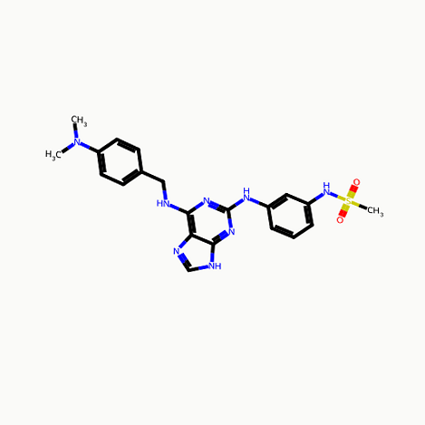 CN(C)c1ccc(CNc2nc(Nc3cccc(NS(C)(=O)=O)c3)nc3[nH]cnc23)cc1